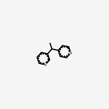 C[C](c1ccncc1)c1cccnc1